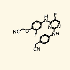 N#CCOc1ccc(Nc2nc(Nc3ccc(CC#N)cc3)ncc2F)cc1F